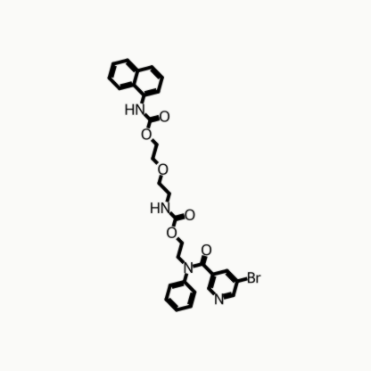 O=C(NCCOCCOC(=O)Nc1cccc2ccccc12)OCCN(C(=O)c1cncc(Br)c1)c1ccccc1